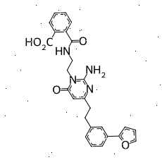 Nc1nc(CCc2cccc(-c3ccco3)c2)cc(=O)n1CCNC(=O)c1ccccc1C(=O)O